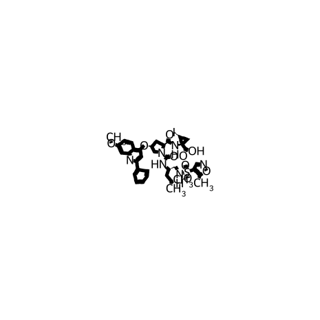 COc1ccc2c(O[C@@H]3C[C@@H](C(=O)N[C@]4(C(=O)O)C[C@H]4I)N(C(=O)N[C@H](CNS(=O)(=O)c4cnoc4C)CC(C)C)C3)cc(-c3ccccc3)nc2c1